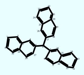 c1ccc2cc([C](c3ccc4ccccc4c3)c3ccc4ccccc4c3)ccc2c1